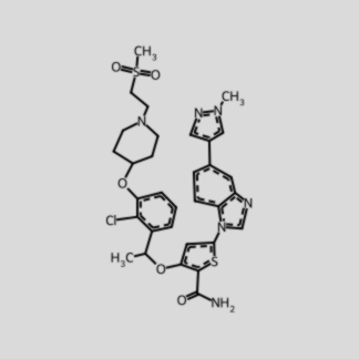 CC(Oc1cc(-n2cnc3cc(-c4cnn(C)c4)ccc32)sc1C(N)=O)c1cccc(OC2CCN(CCS(C)(=O)=O)CC2)c1Cl